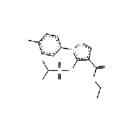 CCOC(=O)c1cnn(-c2ccc(Br)cc2)c1NS(=O)(=O)C(C)C